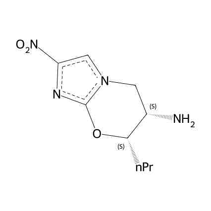 CCC[C@@H]1Oc2nc([N+](=O)[O-])cn2C[C@@H]1N